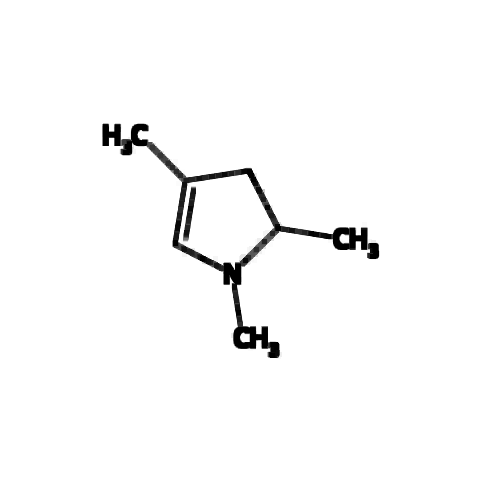 CC1=CN(C)C(C)C1